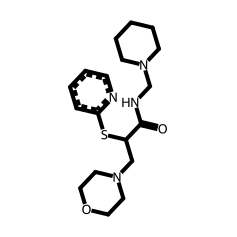 O=C(NCN1CCCCC1)C(CN1CCOCC1)Sc1ccccn1